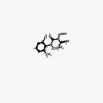 CCCCCCN(C(=N)N)C(=O)N(C)c1c(C)cccc1Cl